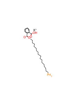 CCCCCCCCCCCCCCCCCCP.O=C([O-])c1ccccc1C(=O)O.[K+]